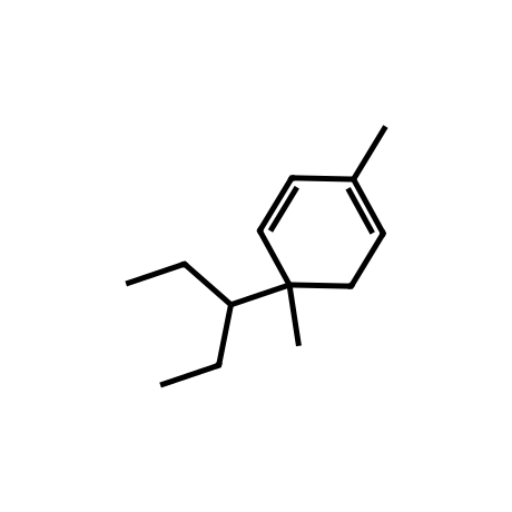 CCC(CC)C1(C)C=CC(C)=CC1